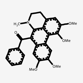 COc1cc2c(C(=O)c3ccccc3)c3c4c(cc(OC)c(OC)c4c2cc1OC)CCN3C